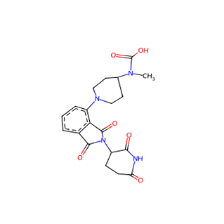 CN(C(=O)O)C1CCN(c2cccc3c2C(=O)N(C2CCC(=O)NC2=O)C3=O)CC1